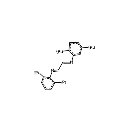 CC(C)c1cccc(C(C)C)c1N=CC=Nc1cc(C(C)(C)C)ccc1C(C)(C)C